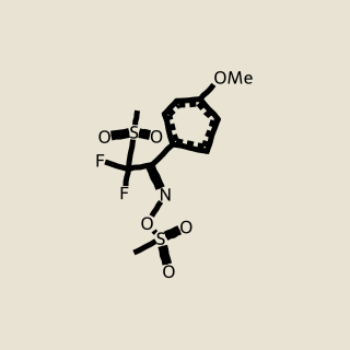 COc1ccc(C(=NOS(C)(=O)=O)C(F)(F)S(C)(=O)=O)cc1